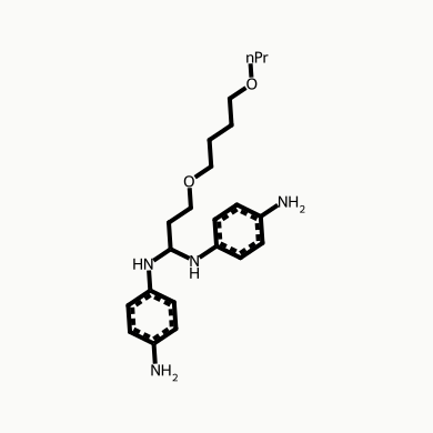 CCCOCCCCOCCC(Nc1ccc(N)cc1)Nc1ccc(N)cc1